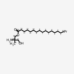 CC(C)CCCCCCCCCCCCCCC(=O)OCC(C)(N)CO